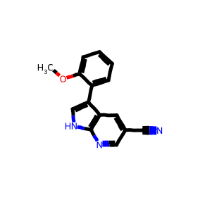 COc1ccccc1-c1c[nH]c2ncc(C#N)cc12